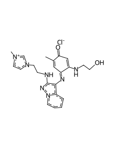 CC1=CC(=Nc2c(NCCn3cc[n+](C)c3)nn3ccccc23)C(NCCO)=CC1=O.[Cl-]